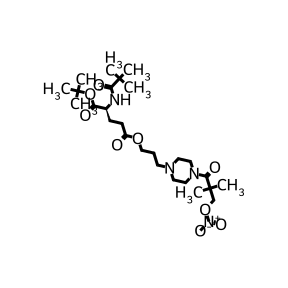 CC(C)(C)OC(=O)[C@H](CCC(=O)OCCCN1CCN(C(=O)C(C)(C)CO[N+](=O)[O-])CC1)NC(=O)C(C)(C)C